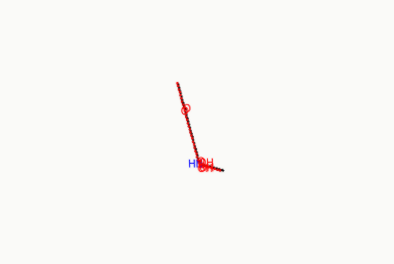 CCCCCCCCCCCCCC=CC=CC(=O)OCCCCCCCCCCCCCCCCCCCCCCCCCCCCCCCCC(=O)N[C@H](CO)[C@H](O)C(O)CCCCCCCCCCCCCC